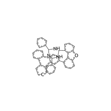 c1ccc(C2=NC(c3ccccc3)NC(c3cccc4oc5cccc(-c6ccc7c8ccccc8c8ccccc8c7c6)c5c34)N2)cc1